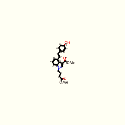 COC(=O)CCCn1cc(C(=O)OC)c2c(/C=C/c3ccc(O)cc3)cccc21